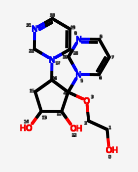 OCCOC1(N2C=CC=NC2)C(O)C(O)CC1N1C=CC=NC1